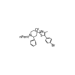 CCCCCN1CCC(c2nc(C)c(-c3ccc(Br)cc3)s2)(C(F)(F)F)CC1c1ccccc1